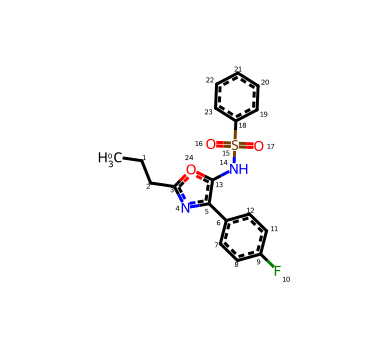 CCCc1nc(-c2ccc(F)cc2)c(NS(=O)(=O)c2ccccc2)o1